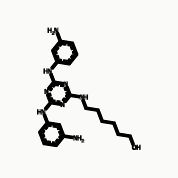 Nc1cccc(Nc2nc(NCCCCCCO)nc(Nc3cccc(N)c3)n2)c1